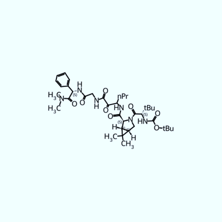 CCCC(NC(=O)[C@@H]1[C@@H]2[C@H](CN1C(=O)[C@@H](NC(=O)OC(C)(C)C)C(C)(C)C)C2(C)C)C(=O)C(=O)NCC(=O)N[C@H](C(=O)N(C)C)c1ccccc1